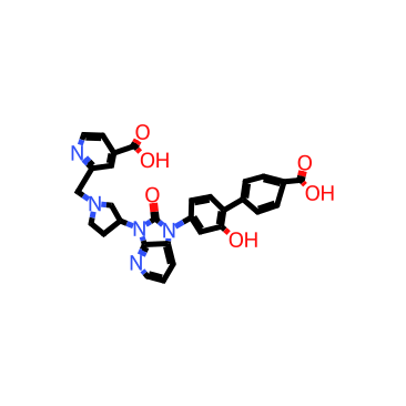 O=C(O)c1ccc(-c2ccc(-n3c(=O)n(C4CCN(Cc5cc(C(=O)O)ccn5)C4)c4ncccc43)cc2O)cc1